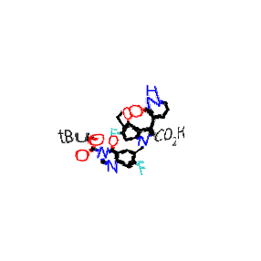 CC(C)(C)OC(=O)n1cnc2cc(F)c(Cn3c(C(=O)O)c(-c4ccc[nH]c4=O)c4c5c(c(F)cc43)CCO5)cc2c1=O